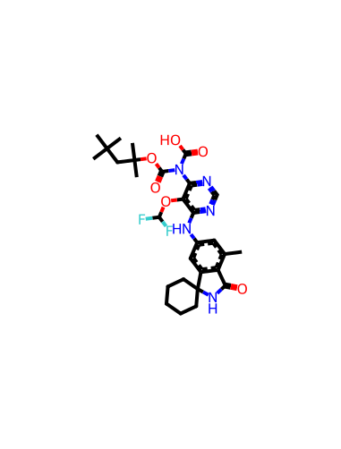 Cc1cc(Nc2ncnc(N(C(=O)O)C(=O)OC(C)(C)CC(C)(C)C)c2OC(F)F)cc2c1C(=O)NC21CCCCC1